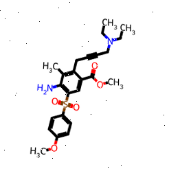 CCN(CC)CC#CCc1c(C(=O)OC)cc(S(=O)(=O)c2ccc(OC)cc2)c(N)c1C